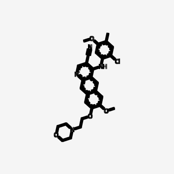 COc1cc(Nc2c(C#N)cnc3cc4cc(OCCN5CCOCC5)c(OC)cc4cc23)c(Cl)cc1C